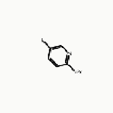 CCCc1ccc(I)cn1